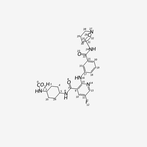 O=C(O)NC1CCC(NC(=O)c2cc(F)cnc2Nc2cccc(C(=O)NC3CN4CCC3CC4)c2)CC1